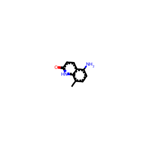 Cc1ccc(N)c2ccc(=O)[nH]c12